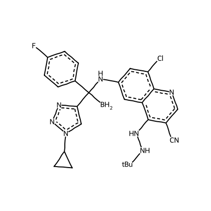 BC(Nc1cc(Cl)c2ncc(C#N)c(NNC(C)(C)C)c2c1)(c1ccc(F)cc1)c1cn(C2CC2)nn1